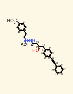 CC(=O)N(CCc1ccc(C(=O)O)cc1)NCCC(O)Cc1ccc(C#Cc2ccccc2)cc1